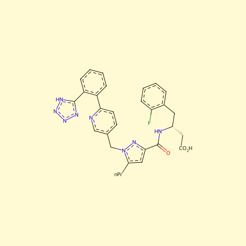 CCCc1cc(C(=O)N[C@@H](CC(=O)O)Cc2ccccc2F)nn1Cc1ccc(-c2ccccc2-c2nnn[nH]2)nc1